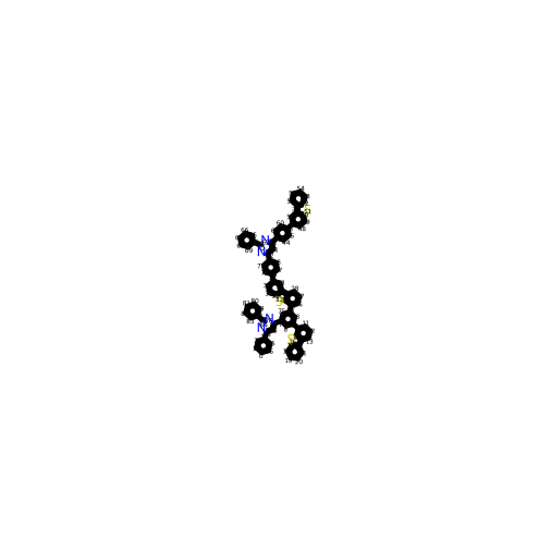 c1ccc(-c2cc(-c3cc(-c4cccc5c4sc4ccccc45)cc(-c4cccc5c4sc4ccc(-c6ccc(-c7cc(-c8ccc(-c9ccc%10sc%11ccccc%11c%10c9)cc8)nc(-c8ccccc8)n7)cc6)cc45)c3)nc(-c3ccccc3)n2)cc1